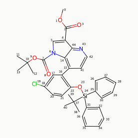 COC(=O)c1cn(C(=O)OC(C)(C)C)c2c(-c3cc(Cl)ccc3O[Si](c3ccccc3)(c3ccccc3)C(C)(C)C)ccnc12